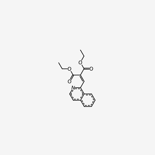 CCOC(=O)C(=Cc1nccc2ccccc12)C(=O)OCC